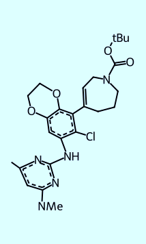 CNc1cc(C)nc(Nc2cc3c(c(C4=CCN(C(=O)OC(C)(C)C)CCC4)c2Cl)OCCO3)n1